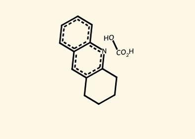 O=C(O)O.c1ccc2nc3c(cc2c1)CCCC3